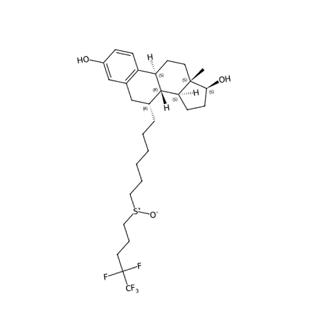 C[C@]12CC[C@@H]3c4ccc(O)cc4C[C@@H](CCCCCC[S+]([O-])CCCC(F)(F)C(F)(F)F)[C@H]3[C@@H]1CC[C@@H]2O